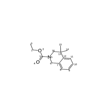 CCOC(=O)N1Cc2ccccc2C(C)(C)C1